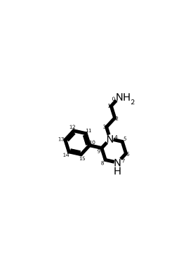 NCCCN1CCNCC1c1ccccc1